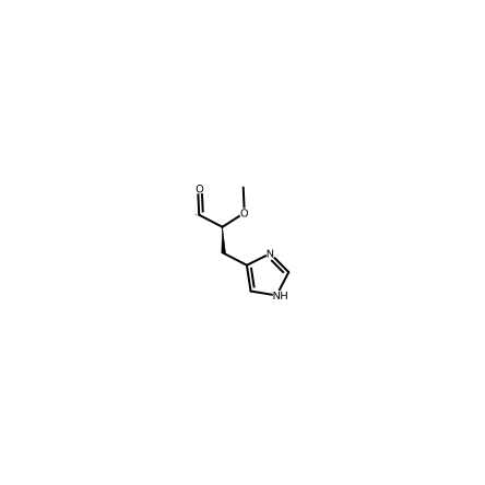 CO[C@H]([C]=O)Cc1c[nH]cn1